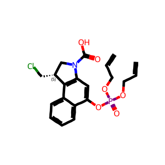 C=CCOP(=O)(OCC=C)Oc1cc2c(c3ccccc13)[C@H](CCl)CN2C(=O)O